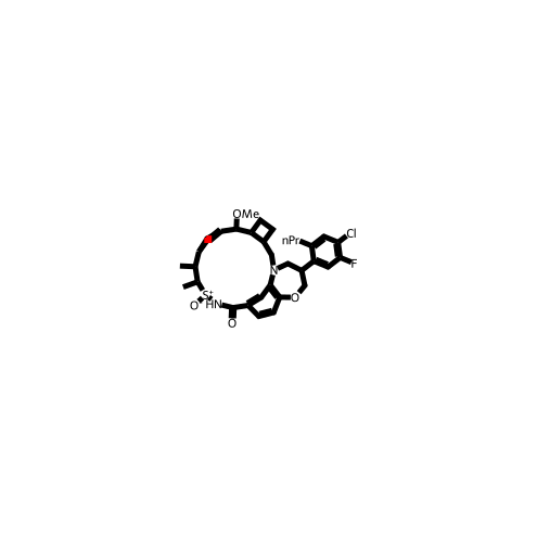 CCCc1cc(Cl)c(F)cc1C1COc2ccc3cc2N(C1)CC1CCC1C(OC)C1=CC(C1)C(C)C(C)[S+]([O-])NC3=O